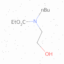 CCCCN(CCO)C(=O)OCC